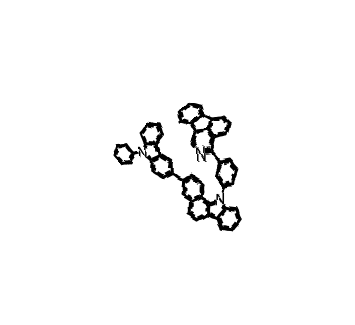 c1ccc(-n2c3ccccc3c3cc(-c4ccc5c(ccc6c7ccccc7n(-c7cccc(-c8ncc9c%10c(cccc8%10)-c8ccccc8-9)c7)c56)c4)ccc32)cc1